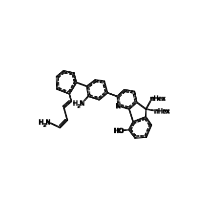 CCCCCCC1(CCCCCC)c2ccc(-c3ccc(-c4ccccc4C=C/C=C\N)c(N)c3)nc2-c2c(O)cccc21